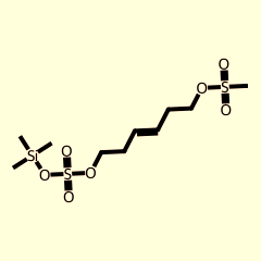 C[Si](C)(C)OS(=O)(=O)OCC/C=C/CCOS(C)(=O)=O